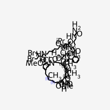 COc1cc2cc(c1Cl)N(C)C(=O)C[C@H](OC(=O)[C@H](C)N(C)C(=O)c1ccccc1NC(=O)[C@H](CCCNC(N)=O)NC(=O)[C@@H](NC(=O)CCCCCNC(=O)C(CBr)CBr)C(C)C)[C@]1(C)O[C@H]1[C@H](C)[C@@H]1C[C@@](O)(NC(=O)O1)[C@H](OC)/C=C/C=C(\C)C2